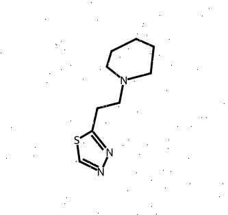 [c]1nnc(CCN2CCCCC2)s1